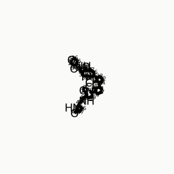 COc1nc(-c2cccc(-c3cccc(-c4ccn5c(=O)c(CN[C@H]6CCOC[C@@H]6O)cnc5c4)c3Cl)c2Cl)ccc1CNCC1CCC(=O)N1